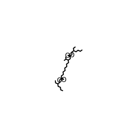 CCCCC(CC)COC(=O)CCCCCCCCC(CC(=O)OCC(CC)CCCC)C(C)C